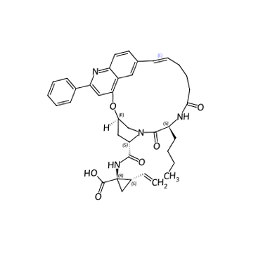 C=C[C@@H]1C[C@]1(NC(=O)[C@@H]1C[C@@H]2CN1C(=O)[C@H](CCCC)NC(=O)CCC/C=C/c1ccc3nc(-c4ccccc4)cc(c3c1)O2)C(=O)O